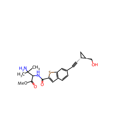 COC(=O)C(NC(=O)c1cc2ccc(C#C[C@@H]3C[C@H]3CO)cc2s1)C(C)(C)N